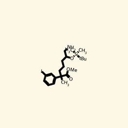 COC(=O)C(C)(CCCC(CN)O[Si](C)(C)C(C)(C)C)c1cccc(I)c1